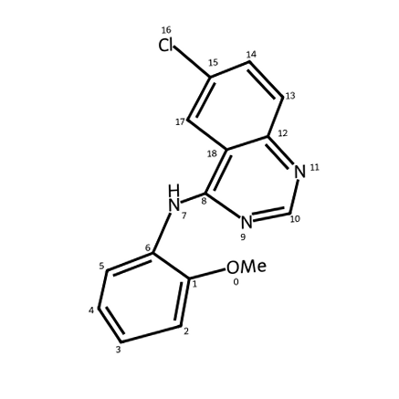 COc1ccccc1Nc1ncnc2ccc(Cl)cc12